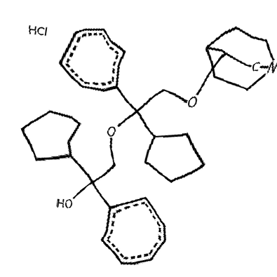 Cl.OC(COC(COC1CN2CCC1CC2)(c1ccccc1)C1CCCC1)(c1ccccc1)C1CCCC1